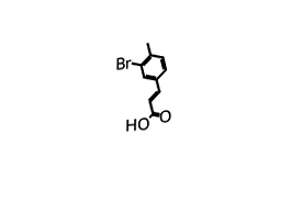 Cc1ccc(/C=C/C(=O)O)cc1Br